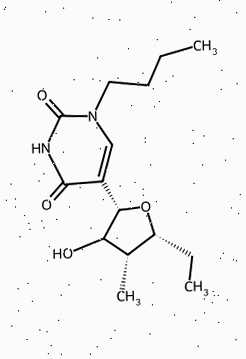 CCCCn1cc([C@@H]2O[C@H](CC)[C@H](C)C2O)c(=O)[nH]c1=O